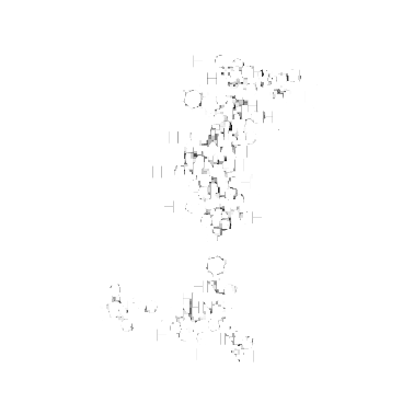 C=C(C(=O)N[C@@H](C)C(=O)N(C)[C@@H](C)C(=O)N[C@H](C(=O)NC)[C@H](OC(=O)[C@@H](NC(C)=O)[C@H](OC(=O)OCc1ccc(NC(=O)[C@H](CCCNC(N)=O)NC(=O)[C@@H](NC(=O)CCOCCN2C(=O)C=CC2=O)C(C)C)cc1)C(C)C)C(C)C)N(C)C(=O)[C@@H](Cc1ccccc1)OC(=O)[C@@H](NC(C)=O)[C@@H](C)OC(=O)C[C@@H](C)OC